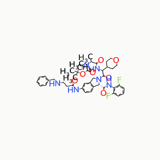 CC(C(=O)NC(C(=O)N1Cc2cc(NC(=O)CCNCc3ccccc3)ccc2[C@H]1C(=O)Nc1c(F)cccc1F)C1CCOCC1)N(C)C(=O)OC(C)(C)C